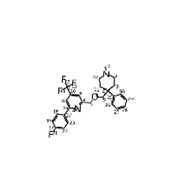 CN1CCC(COCc2cc(C(F)(F)F)cc(-c3ccc(F)cc3)n2)(c2ccccc2)CC1